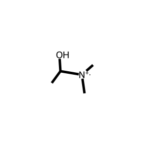 CC(O)[N+](C)C